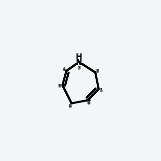 [C]1=CCNC=CC1